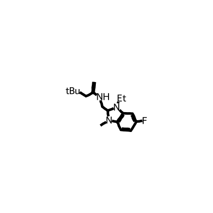 C=C(CC(C)(C)C)NCC1N(C)c2ccc(F)cc2N1CC